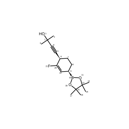 CC(C)(O)C#C[C@H]1CC[C@@H](B2OC(C)(C)C(C)(C)O2)C=C1F